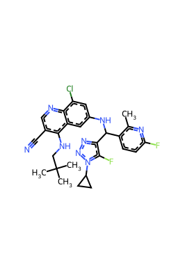 Cc1nc(F)ccc1C(Nc1cc(Cl)c2ncc(C#N)c(NCC(C)(C)C)c2c1)c1nnn(C2CC2)c1F